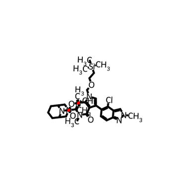 Cn1cc2c(Cl)c(-c3cn(COCC[Si](C)(C)C)c4nc(N5CC6CCCC(C5)N6C(=O)OC(C)(C)C)n(C)c(=O)c34)ccc2n1